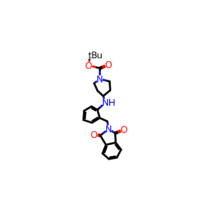 CC(C)(C)OC(=O)N1CCC(Nc2ccccc2CN2C(=O)c3ccccc3C2=O)CC1